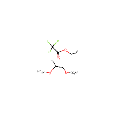 CC(COC(=O)O)OC(=O)O.CCOC(=O)C(F)(F)F